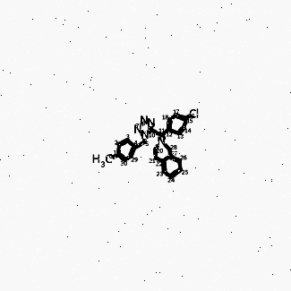 Cc1ccc(Cn2nnnc2C(c2ccc(Cl)cc2)N2CCc3ccccc3C2)cc1